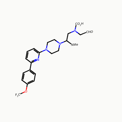 CNC(CN(CC=O)C(=O)O)N1CCN(c2cccc(-c3ccc(OC(F)(F)F)cc3)n2)CC1